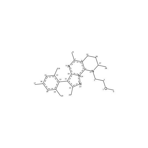 COCCN1c2c(c(C)nc3c(-c4c(C)cc(C)cc4C)c(C)nn23)CCC1C